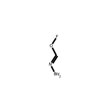 B/N=C/OF